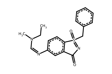 CCN(C)/C=N\c1ccc2c(c1)C(=O)N=S2(=O)Cc1ccccc1